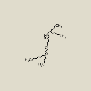 CCCCCCCC(CCCC)OCCOCCCc1cn(CC(CCCC)CCCCC)nn1